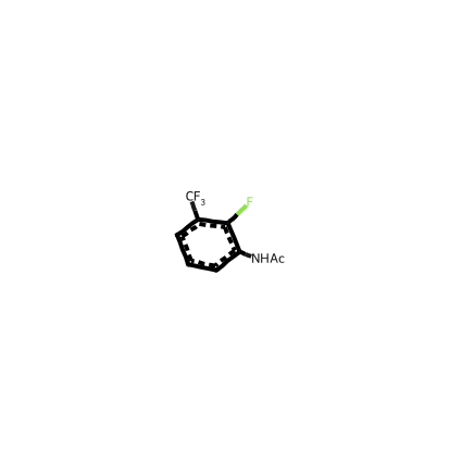 CC(=O)Nc1cccc(C(F)(F)F)c1F